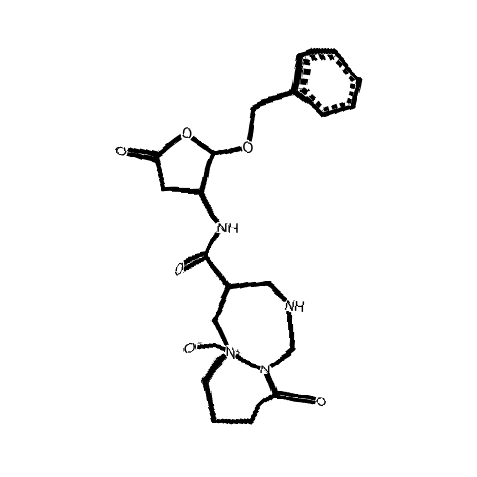 O=C1CC(NC(=O)C2CNCN3C(=O)CCC[N+]3([O-])C2)C(OCc2ccccc2)O1